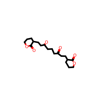 O=C(CCCC(=O)CCC1CCCOC1=O)CCC1CCCOC1=O